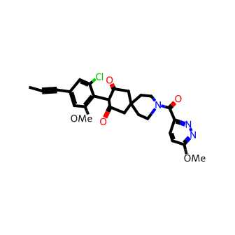 CC#Cc1cc(Cl)c(C2C(=O)CC3(CCN(C(=O)c4ccc(OC)nn4)CC3)CC2=O)c(OC)c1